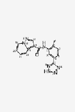 Cc1ccc(-c2nn[nH]n2)cc1NC(=O)c1cnn2ccccc12